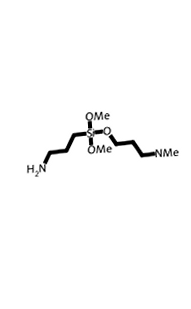 CNCCCO[Si](CCCN)(OC)OC